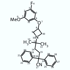 COc1cc(F)cc(OC2CN(C(C)(C)CCC(C#N)(c3ccccc3)c3ccccc3)C2)c1